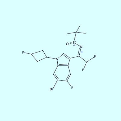 CC(C)(C)[S@+]([O-])/N=C(\c1cn(C2CC(F)C2)c2cc(Br)c(F)cc12)C(F)F